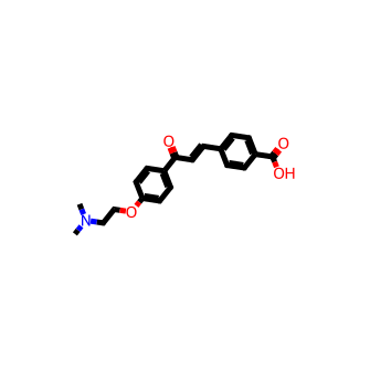 CN(C)CCOc1ccc(C(=O)/C=C/c2ccc(C(=O)O)cc2)cc1